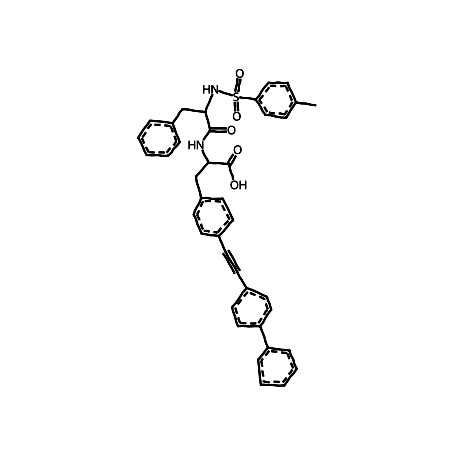 Cc1ccc(S(=O)(=O)NC(Cc2ccccc2)C(=O)NC(Cc2ccc(C#Cc3ccc(-c4ccccc4)cc3)cc2)C(=O)O)cc1